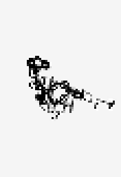 O=C(NCCC(=O)N1Cc2ccccc2CCc2ccccc21)c1ccc(C(c2cccc(C(=O)O)n2)N2CCOCCOCCN(Cc3cccc(C(=O)O)n3)CCOCCOCC2)cc1